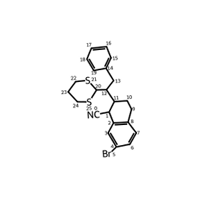 N#CC1c2cc(Br)ccc2CCC1C(Cc1ccccc1)C1SCCCS1